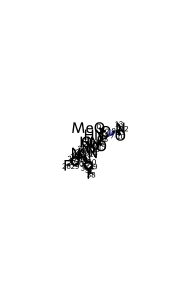 COC(=O)N[C@@H](CC/C=C/C(=O)N(C)C)C(=O)Nc1cncn(Cc2nc3cc(F)ccc3n2Cc2ccc(F)cc2)c1=O